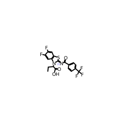 CCC(C(=O)O)n1/c(=N/C(=O)c2ccc(C(F)(F)F)cc2)sc2cc(F)c(F)cc21